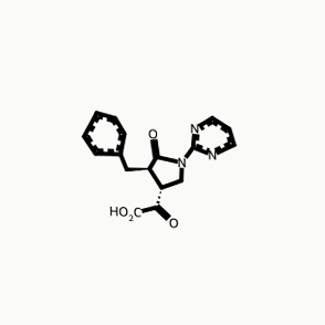 O=C(O)C(=O)[C@H]1CN(c2ncccn2)C(=O)[C@@H]1Cc1ccccc1